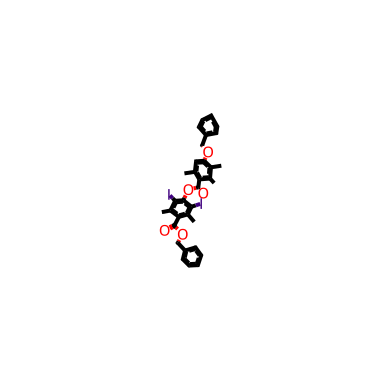 Cc1cc(OCc2ccccc2)c(C)c(C)c1C(=O)Oc1c(I)c(C)c(C(=O)OCc2ccccc2)c(C)c1I